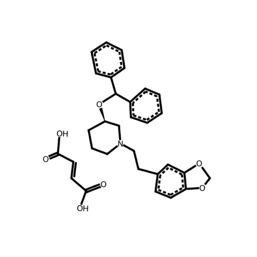 O=C(O)/C=C/C(=O)O.c1ccc(C(O[C@@H]2CCCN(CCc3ccc4c(c3)OCO4)C2)c2ccccc2)cc1